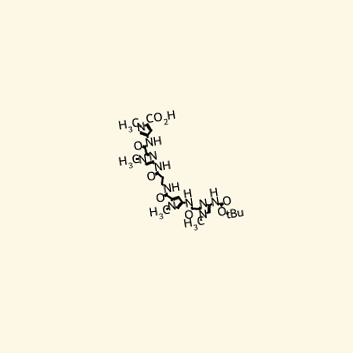 Cn1cc(NC(=O)c2nc(NC(=O)CCNC(=O)c3cc(NC(=O)c4nc(NC(=O)OC(C)(C)C)cn4C)cn3C)cn2C)cc1C(=O)O